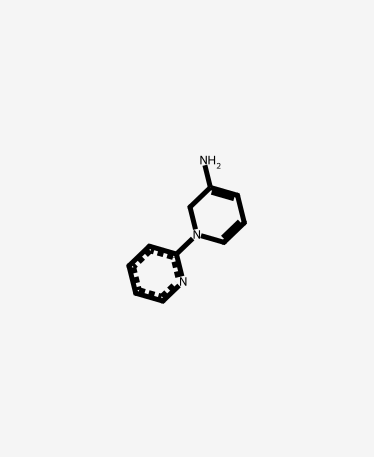 NC1=CC=CN(c2ccccn2)C1